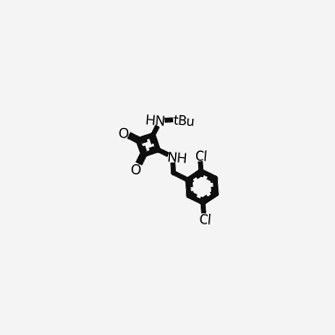 CC(C)(C)Nc1c(NCc2cc(Cl)ccc2Cl)c(=O)c1=O